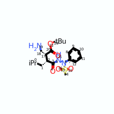 CC(C)C[C@@H](C(=O)NN(c1ccccc1)S(C)(=O)=O)[C@H](CN)C(=O)OC(C)(C)C